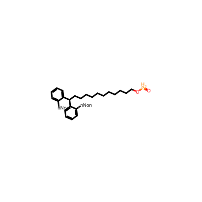 CCCCCCCCCc1ccccc1C(CCCCCCCCCCCO[PH2]=O)c1ccccc1CCCCCCCCC